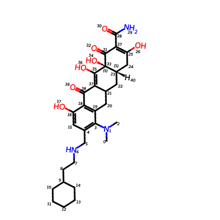 CN(C)c1c(CNCCC2CCCCC2)cc(O)c2c1CC1C[C@H]3CC(O)=C(C(N)=O)C(=O)[C@@]3(O)C(O)=C1C2=O